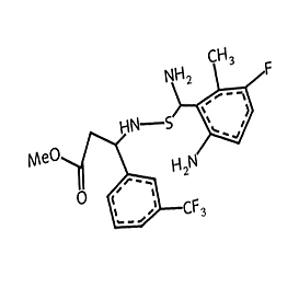 COC(=O)CC(NSC(N)c1c(N)ccc(F)c1C)c1cccc(C(F)(F)F)c1